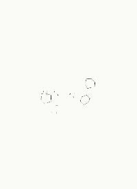 Cc1ccnc(N2CC[C@@H](N3Cc4cccc(-c5ccc(F)cc5)c4C3)C2)c1C(=O)OC(C)C